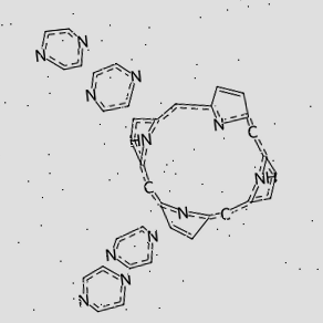 C1=Cc2cc3ccc(cc4nc(cc5ccc(cc1n2)[nH]5)C=C4)[nH]3.c1cnccn1.c1cnccn1.c1cnccn1.c1cnccn1